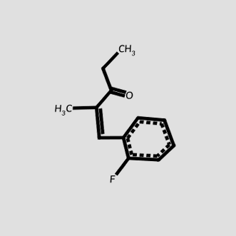 CCC(=O)C(C)=Cc1ccccc1F